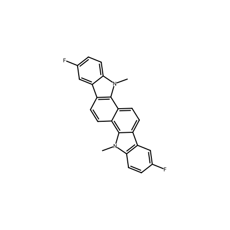 Cn1c2ccc(F)cc2c2ccc3c(ccc4c5cc(F)ccc5n(C)c43)c21